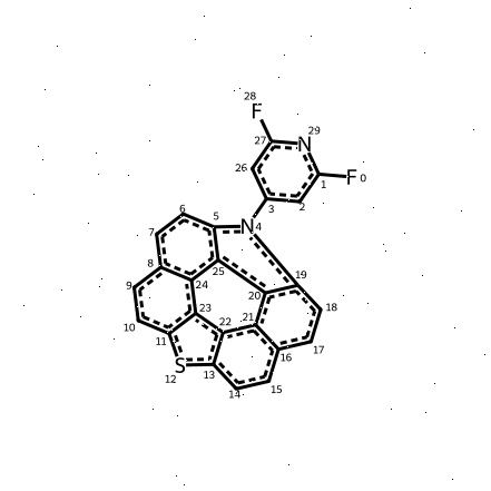 Fc1cc(-n2c3ccc4ccc5sc6ccc7ccc2c2c7c6c5c4c23)cc(F)n1